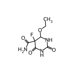 CCOC1NC(=O)NC(=O)C1(F)C(N)=O